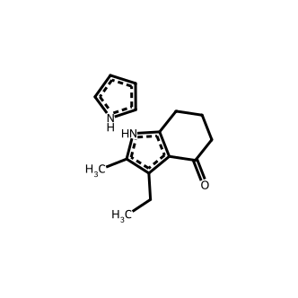 CCc1c(C)[nH]c2c1C(=O)CCC2.c1cc[nH]c1